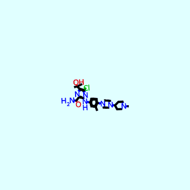 Cc1cc(Nc2nc(Cl)c(C(C)(C)O)nc2C(N)=O)ccc1N1CCN(C2CCN(C)CC2)CC1